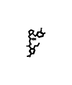 CCCc1ccc(OC)cc1[C@@H](C)OC[C@H](O)CN1CCC[C@H]1Cc1ccc(C)c(F)c1